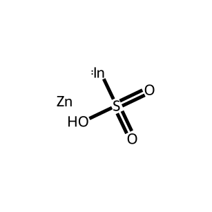 O=[S](=O)(O)[In].[Zn]